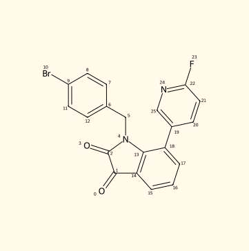 O=C1C(=O)N(Cc2ccc(Br)cc2)c2c1cccc2-c1ccc(F)nc1